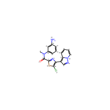 CN(C(=O)c1nc(-c2cnn3ccccc23)c(Cl)s1)c1cccc(N)c1